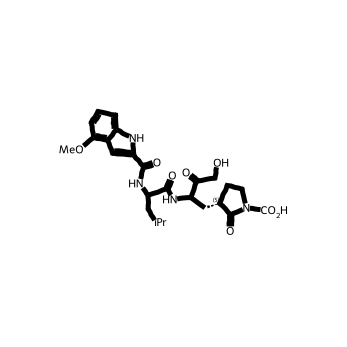 COc1cccc2[nH]c(C(=O)NC(CC(C)C)C(=O)NC(C[C@@H]3CCN(C(=O)O)C3=O)C(=O)CO)cc12